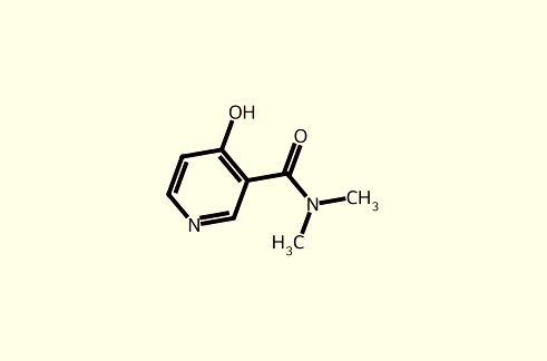 CN(C)C(=O)c1cnccc1O